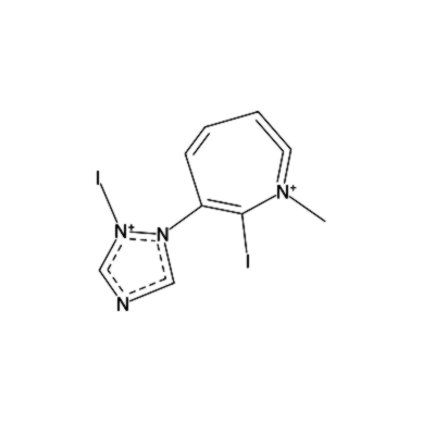 C[N+]1=C=CC=CC(n2cnc[n+]2I)=C1I